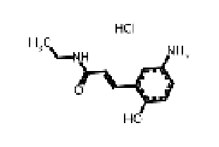 CCNC(=O)C=Cc1cc(N)ccc1O.Cl